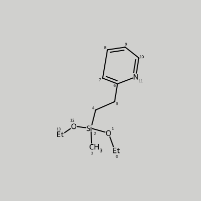 CCO[Si](C)(CCc1ccccn1)OCC